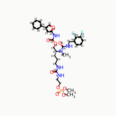 COP(=O)(OC)OCCNC(=O)NCCC[C@@H](COC(=O)Nc1cc(-c2ccccc2)co1)N(C)C(=O)NCc1cccc(F)c1F